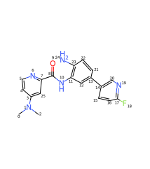 CN(C)c1ccnc(C(=O)Nc2cc(-c3ccc(F)nc3)ccc2N)c1